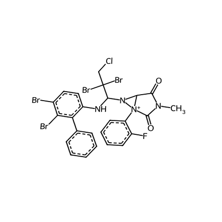 CN1C(=O)C2N(C(Nc3ccc(Br)c(Br)c3-c3ccccc3)C(Br)(Br)CCl)[N+]2(c2ccccc2F)C1=O